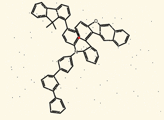 CC1(C)c2ccccc2-c2cccc(-c3ccc(N(c4ccc(-c5cccc(-c6ccccc6)c5)cc4)c4ccccc4-c4cccc5oc6cc7ccccc7cc6c45)cc3)c21